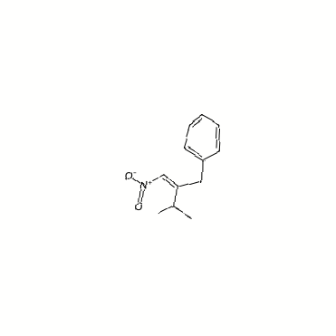 CC(C)C(=C[N+](=O)[O-])Cc1ccccc1